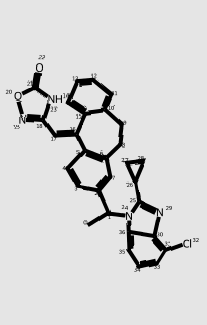 CC(c1ccc2c(c1)CCc1ccccc1C2=Cc1noc(=O)[nH]1)n1c(C2CC2)nc2c(Cl)cccc21